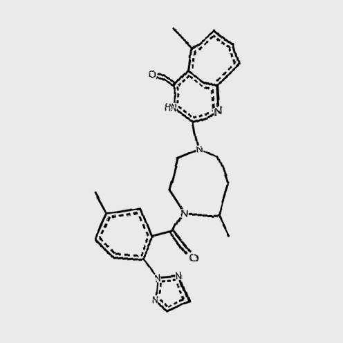 Cc1ccc(-n2nccn2)c(C(=O)N2CCN(c3nc4cccc(C)c4c(=O)[nH]3)CCC2C)c1